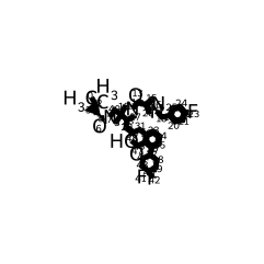 CC1(C)C[C@@H]1C(=O)N1CC2(CN(C(=O)c3cnn(Cc4ccc(F)cc4)c3)CC2/C=C\Cc2cccc(C3CCC(F)(F)CC3)c2C(=O)O)C1